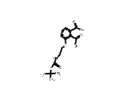 CC(C)(C)OC(=O)NCCOc1cccc(C(=O)O)c1C(=O)O